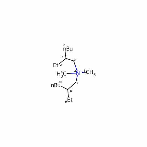 CCCCC(CC)C[N+](C)(C)CC(CC)CCCC